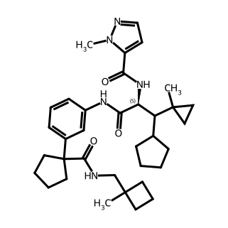 Cn1nccc1C(=O)N[C@H](C(=O)Nc1cccc(C2(C(=O)NCC3(C)CCC3)CCCC2)c1)C(C1CCCC1)C1(C)CC1